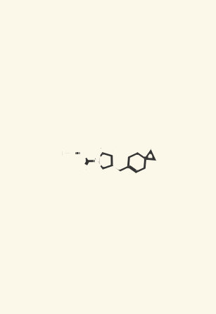 CC(C)(C)OC(=O)N1C[C@H](CC2=CCC3(CC2)CC3)C[C@H]1C(=O)O